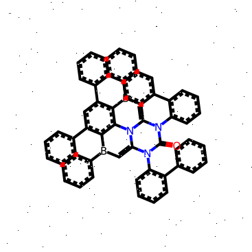 O=C1N(c2ccccc2-c2ccccc2)C2=CB(c3ccccc3)c3c(-c4ccccc4)cc(-c4ccccc4)c4c3N2C(=CB4c2ccccc2)N1c1ccccc1-c1ccccc1